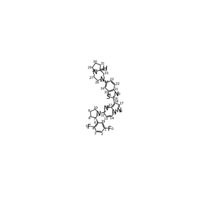 Fc1ccc(F)c([C@H]2CCCN2c2ccn3ncc(-c4nc5ccc(N6CCN7CCC[C@@H]7C6)cc5s4)c3n2)c1